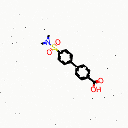 CN(C)S(=O)(=O)c1ccc(-c2ccc(C(=O)O)cc2)cc1